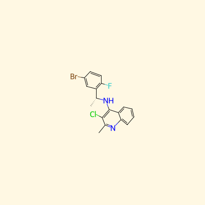 Cc1nc2ccccc2c(N[C@H](C)c2cc(Br)ccc2F)c1Cl